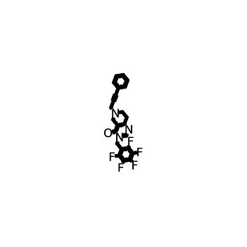 O=c1c2c(ncn1Cc1c(F)c(F)c(F)c(F)c1F)CCN(CC#Cc1ccccc1)C2